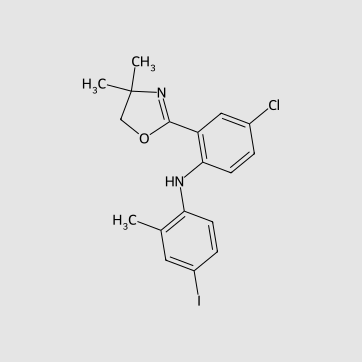 Cc1cc(I)ccc1Nc1ccc(Cl)cc1C1=NC(C)(C)CO1